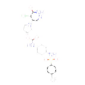 O=C(N[C@H]1CC[C@H](NS(=O)(=O)c2ccc(C(F)(F)F)cc2)CC1)O[C@@H]1CCN(c2cn[nH]c(=O)c2Cl)C1